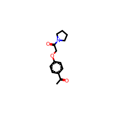 CC(=O)c1ccc(OCC(=O)N2CCCC2)cc1